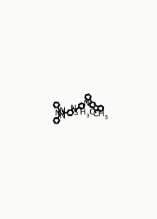 CC1(C)c2ccccc2-c2cc3c4ccccc4n(-c4ccc(-c5nc6cc(-c7nc(-c8ccccc8)nc(-c8ccccc8)n7)ccc6s5)cc4)c3cc21